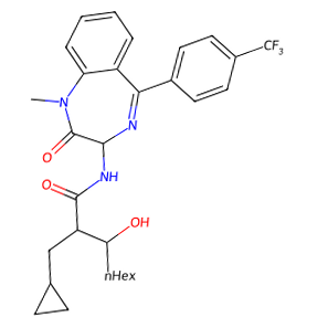 CCCCCCC(O)C(CC1CC1)C(=O)NC1N=C(c2ccc(C(F)(F)F)cc2)c2ccccc2N(C)C1=O